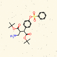 CC(C)(C)OC(=O)C(CN)C(C(=O)OC(C)(C)C)c1ccc(OS(=O)(=O)c2ccccc2)cc1